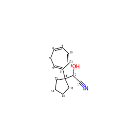 N#CC(O)C1(C2=CCC=CC=C2)CCCC1